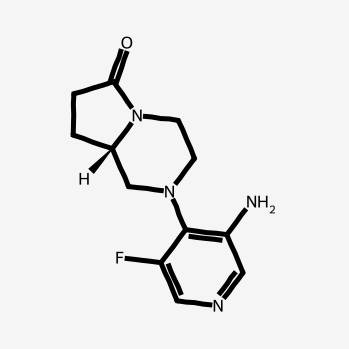 Nc1cncc(F)c1N1CCN2C(=O)CC[C@H]2C1